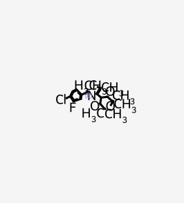 CC(C)=C(/N=C(\C)c1ccc(Cl)c(F)c1)C1C(=O)C(C)(C)OC(C)(C)C1=O